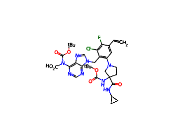 C=Cc1cc(N2CCC(NC(=O)OC(C)(C)C)(C(=O)NC3CC3)C2)c(Cn2cnc3c(N(C(=O)O)C(=O)OC(C)(C)C)ncnc32)c(Cl)c1F